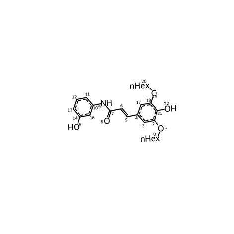 CCCCCCOc1cc(/C=C/C(=O)Nc2cccc(O)c2)cc(OCCCCCC)c1O